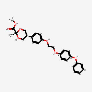 COC(=O)[C@]1(C)OC[C@@H](c2ccc(OCCOc3ccc(Oc4ccccc4)cc3)cc2)CO1